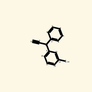 C#C[C](c1ccccc1)c1cccc(I)c1